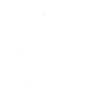 Cc1ccc(NC(=O)Nc2ccccc2)cc1N(C)S(=O)(=O)c1cccc(-c2ccc(F)cc2)c1